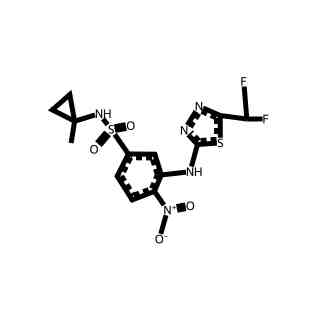 CC1(NS(=O)(=O)c2ccc([N+](=O)[O-])c(Nc3nnc(C(F)F)s3)c2)CC1